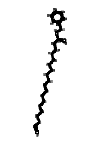 O=CCCCCCCCCCCCCCCCCC(=O)OCc1ccccc1